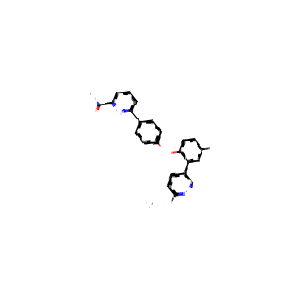 COc1ccc(-c2cc(C#N)ccc2Oc2ccc(-c3cccc(C(N)=O)n3)cc2)cn1